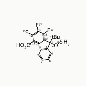 CC(C)(C)C(O[SiH3])(c1ccccc1)c1cc(C(=O)O)c(F)c(F)c1F